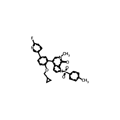 Cc1ccc(S(=O)(=O)n2ccc3c(-c4cc(-c5ccc(F)nc5)ccc4OCC4CC4)cn(C)c(=O)c32)cc1